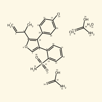 C.C=CC(C)c1occ(-c2ccccc2S(N)(=O)=O)c1-c1ccc(Cl)cc1.NC(O)=S.NC(O)=S.O